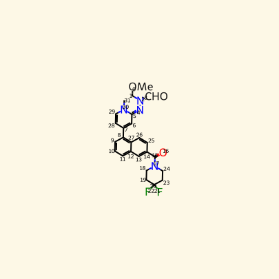 COCN(C=O)/N=c1/cc(-c2cccc3cc(C(=O)N4CCC(F)(F)CC4)ccc23)ccn1C